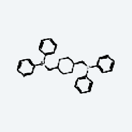 c1ccc(P(CC2CCC(CP(c3ccccc3)c3ccccc3)CC2)c2ccccc2)cc1